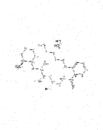 COCCCCOc1ccccc1C(=O)NC[C@@H](C[C@H](N)[C@@H](O)CN1CCCC[C@@H]1C)C(C)C.Cl.Cl